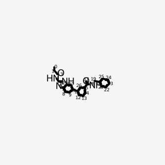 CCC(=O)Nc1nc2ccc(-c3cccc(C(=O)NCc4ccccc4)c3)cc2[nH]1